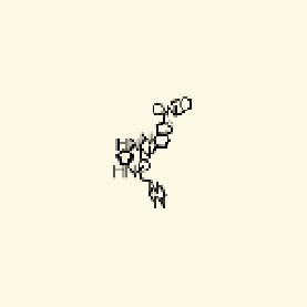 CN1CCN(CCC(=O)Nc2cccc(Nc3ncc4ccc5sc(C(=O)N6CCOCC6)cc5c4n3)c2)CC1